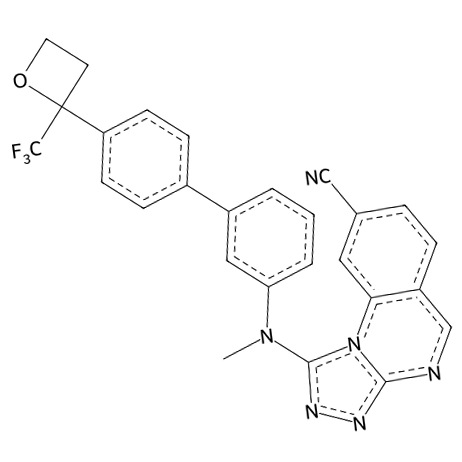 CN(c1cccc(-c2ccc(C3(C(F)(F)F)CCO3)cc2)c1)c1nnc2ncc3ccc(C#N)cc3n12